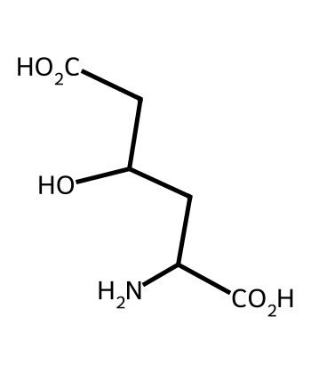 NC(CC(O)CC(=O)O)C(=O)O